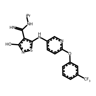 CC(C)NC(=N)c1c(O)nsc1Nc1ccc(Oc2cccc(C(F)(F)F)c2)nc1